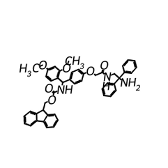 COc1ccc(C(NC(=O)OCC2c3ccccc3-c3ccccc32)c2ccc(OCC(=O)NCC(N)(c3ccccc3)c3ccccc3)cc2)c(OC)c1